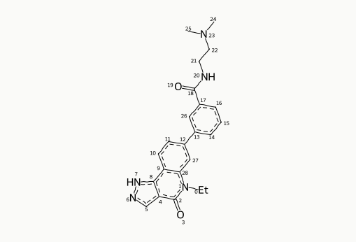 CCn1c(=O)c2cn[nH]c2c2ccc(-c3cccc(C(=O)NCCN(C)C)c3)cc21